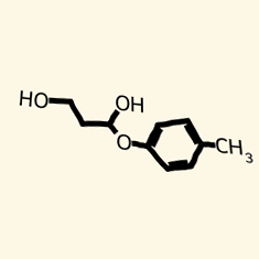 Cc1ccc(OC(O)CCO)cc1